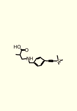 CC(CNCc1ccc(C#C[Si](C)(C)C)cc1)C(=O)O